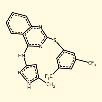 Cc1cc(Nc2nc(Sc3cc(C(F)(F)F)cc(C(F)(F)F)c3)nc3ccccc23)n[nH]1